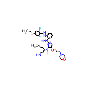 CCC=C/C(=C\C=N)Nc1nc(C(=N)c2ccccc2NCc2c(F)cc(OCC)cc2F)ncc1OCCCN1CCOCC1